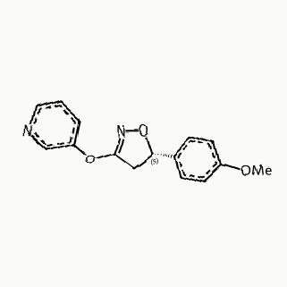 COc1ccc([C@@H]2CC(Oc3cccnc3)=NO2)cc1